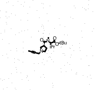 CC#CCN1CC[C@H](C(=O)N(C)C(C(=O)OC(C)(C)C)C(C)C)C1